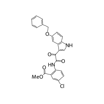 COC(=O)c1cc(Cl)ccc1NC(=O)C(=O)c1c[nH]c2ccc(OCc3ccccc3)cc12